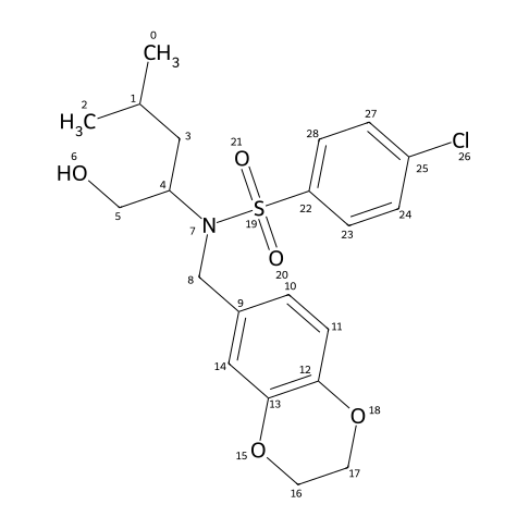 CC(C)CC(CO)N(Cc1ccc2c(c1)OCCO2)S(=O)(=O)c1ccc(Cl)cc1